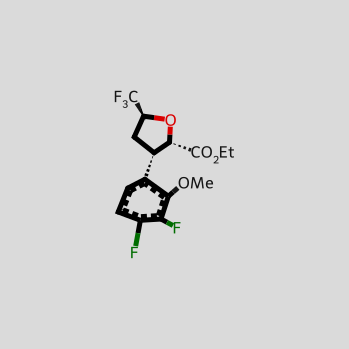 CCOC(=O)[C@H]1O[C@H](C(F)(F)F)C[C@H]1c1ccc(F)c(F)c1OC